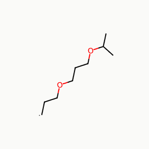 [CH2]CCOCCCOC(C)C